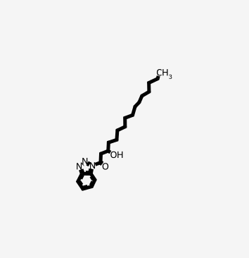 CCCCCCCCCCCCCC(O)CC(=O)n1nnc2ccccc21